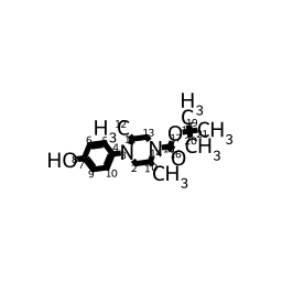 CC1CN(c2ccc(O)cc2)C(C)CN1C(=O)OC(C)(C)C